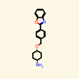 N[C@H]1CC[C@H](OCc2ccc(-c3nc4ccccc4o3)cc2)CC1